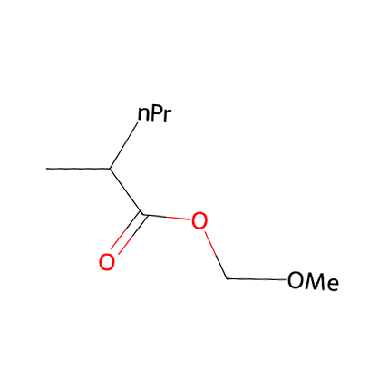 CCCC(C)C(=O)OCOC